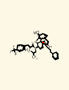 CC(C)CN(C(=O)/C=C/c1ccc(C(F)(F)F)cc1)C1CC[C@@]2(O)[C@H]3Cc4ccc(O)c5c4[C@@]2(CCN3CCc2ccccc2)C1O5